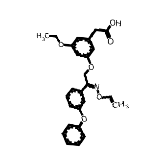 CCON=C(COc1cc(CC(=O)O)cc(OCC)c1)c1cccc(Oc2ccccc2)c1